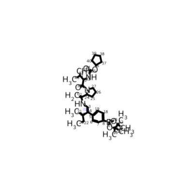 C=C(N/C=C(/c1ccc(B2OC(C)(C)C(C)(C)O2)cc1)C(C)CC)C1CCCN1C(=O)C(NC(=O)OC1CCCC1)C(C)C